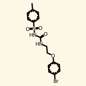 Cc1ccc(S(=O)(=O)NC(=O)NCCOc2ccc(Br)cc2)cc1